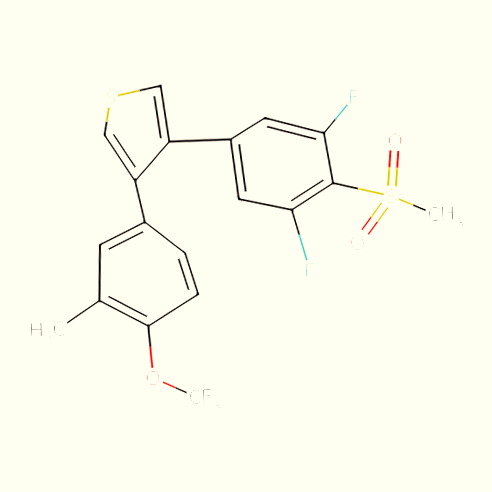 Cc1cc(-c2cscc2-c2cc(F)c(S(C)(=O)=O)c(F)c2)ccc1OC(F)(F)F